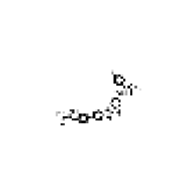 C[C@@H](NC(=O)[C@H]1CC[C@H](NS(=O)(=O)c2ccc(-c3ccc(C[C@@H](N)C(=O)O)cc3)cc2)CC1)c1ccc(F)cc1